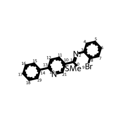 CSC(=Nc1ccccc1Br)c1ccc(-c2ccccc2)nc1